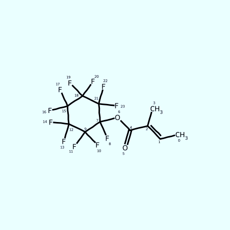 C/C=C(\C)C(=O)OC1(F)C(F)(F)C(F)(F)C(F)(F)C(F)(F)C1(F)F